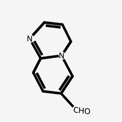 O=CC1=CN2CC=CN=C2C=C1